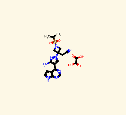 CC(C)S(=O)(=O)N1CC(CC#N)(n2cc(-c3ncnc4[nH]ccc34)c(N)n2)C1.O=C(O)C(=O)O